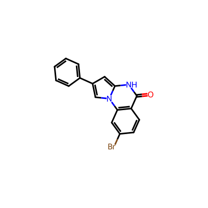 O=c1[nH]c2cc(-c3ccccc3)cn2c2cc(Br)ccc12